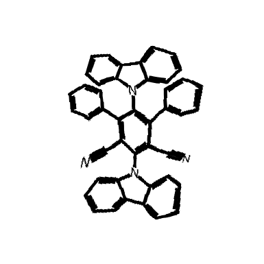 N#Cc1c(-c2ccccc2)c(-n2c3ccccc3c3ccccc32)c(-c2ccccc2)c(C#N)c1-n1c2ccccc2c2ccccc21